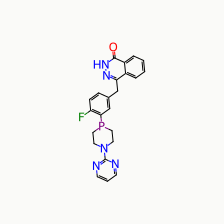 O=c1[nH]nc(Cc2ccc(F)c(P3CCN(c4ncccn4)CC3)c2)c2ccccc12